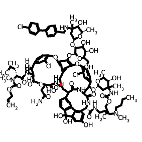 C=CCOC(=O)NC1(C)C[C@H](OC2c3ccc(c(Cl)c3)Oc3cc4cc(c3O[C@@H]3OC(CO)[C@@H](O)[C@H](O)C3O[C@H]3CC(C)(NCc5ccc(-c6ccc(Cl)cc6)cc5)[C@@H](O)[C@H](C)O3)Oc3ccc(cc3Cl)[C@@H](O)[C@@H](NC(=O)[C@@H](CC(C)C)N(C)C(=O)OCC=C)C(=O)C[C@@H](CC(N)=O)C(=O)N[C@H]4C(=O)CC3C(=O)NC2C(=O)N[C@H](C(=O)NCCCN(C)CCCC)c2cc(O)cc4c2-c2cc3ccc2C4(O)O)O[C@@H](C)[C@@H]1O